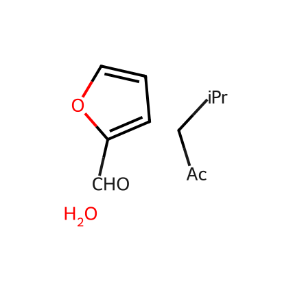 CC(=O)CC(C)C.O.O=Cc1ccco1